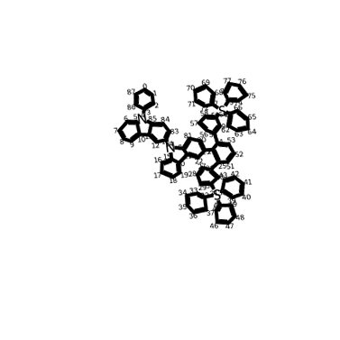 c1ccc(-n2c3ccccc3c3cc(-n4c5ccccc5c5cc(-c6c(-c7cccc(S(c8ccccc8)(c8ccccc8)c8ccccc8)c7)cccc6-c6cccc(S(c7ccccc7)(c7ccccc7)c7ccccc7)c6)ccc54)ccc32)cc1